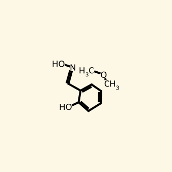 COC.ON=Cc1ccccc1O